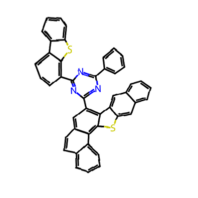 c1ccc(-c2nc(-c3cccc4c3sc3ccccc34)nc(-c3cc4ccc5ccccc5c4c4sc5cc6ccccc6cc5c34)n2)cc1